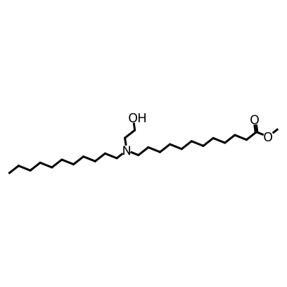 CCCCCCCCCCCN(CCO)CCCCCCCCCCCC(=O)OC